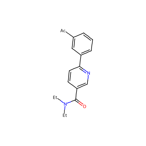 CCN(CC)C(=O)c1ccc(-c2cccc(C(C)=O)c2)nc1